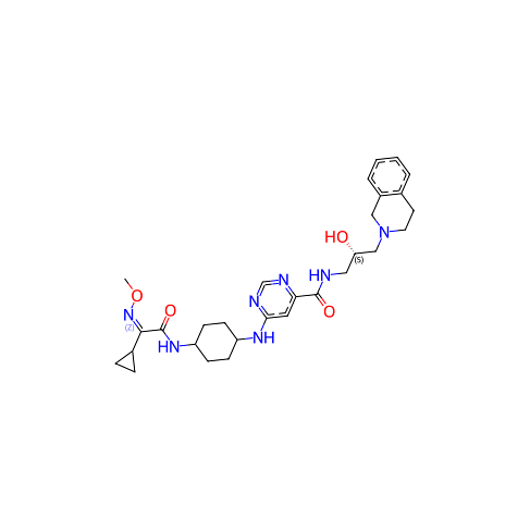 CO/N=C(\C(=O)NC1CCC(Nc2cc(C(=O)NC[C@H](O)CN3CCc4ccccc4C3)ncn2)CC1)C1CC1